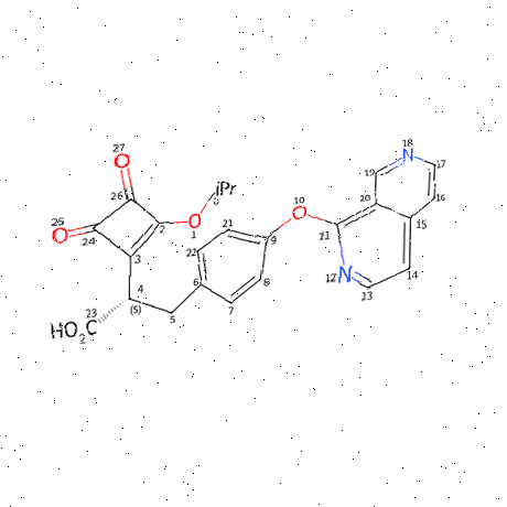 CC(C)Oc1c([C@H](Cc2ccc(Oc3nccc4ccncc34)cc2)C(=O)O)c(=O)c1=O